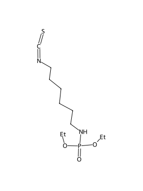 CCOP(=O)(NCCCCCCN=C=S)OCC